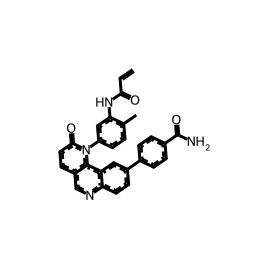 C=CC(=O)Nc1cc(-n2c(=O)ccc3cnc4ccc(-c5ccc(C(N)=O)cc5)cc4c32)ccc1C